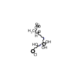 CC(CO[N+](=O)[O-])NC(=O)CCC/C=C\C[C@@H]1[C@@H](/C=C/[C@@H](O)CCc2cccc(Cl)c2)[C@H](O)C[C@@H]1O